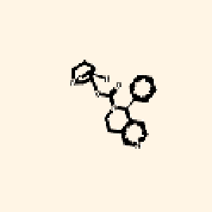 O=C(O[C@@H]1CN2CCC1CC2)N1CCc2cnccc2[C@@H]1c1ccccc1